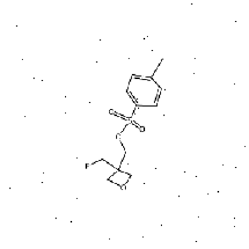 Cc1ccc(S(=O)(=O)OCC2(CF)COC2)cc1